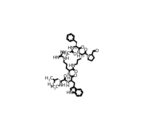 CN[C@H](CC(C)C)C(=O)NC(Cc1c[nH]c2ccccc12)C(=O)NC(CCCNC(=N)N)C(=O)NCCC[C@H](NC(=O)[C@H](Cc1ccccc1)NC(C)=O)C(=O)N1CCCC1C=O